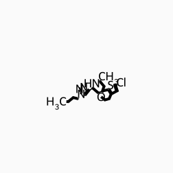 CCCCn1cc([C@@H]2C[C@]3(C[C@H](C)N2)OCCc2cc(Cl)sc23)nn1